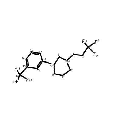 FC(F)(F)[CH]CN1CCC[C@@H](c2cccc(C(F)(F)F)c2)C1